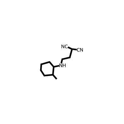 CC1CCCCC1NCCC(C#N)C#N